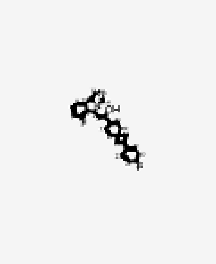 OC(CC1c2c(F)cccc2-c2cncn21)C1CCC2(CC1)CC(c1ccc(F)cc1)C2